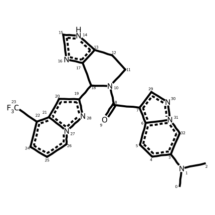 CN(C)c1ccc2c(C(=O)N3CCc4[nH]cnc4C3c3cc4c(C(F)(F)F)cccn4n3)cnn2c1